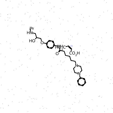 CC(C)NCC(O)COc1ccc(NC(=O)CCCCCN2CCN(c3ccccc3)CC2)cc1.O=C(O)/C=C\C(=O)O